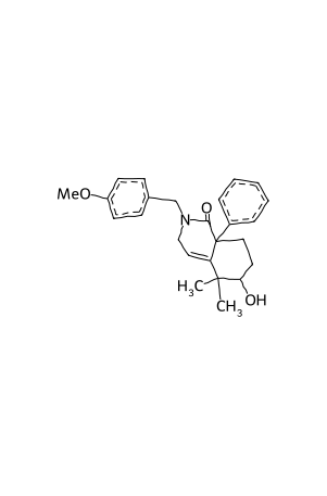 COc1ccc(CN2CC=C3C(c4ccccc4)(CCC(O)C3(C)C)C2=O)cc1